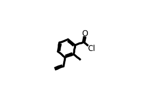 C=Cc1cccc(C(=O)Cl)c1C